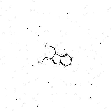 OCC1=Cc2ccccc2C1CO